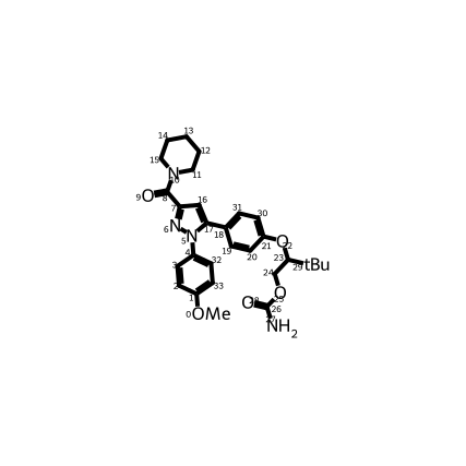 COc1ccc(-n2nc(C(=O)N3CCCCC3)cc2-c2ccc(OC(COC(N)=O)C(C)(C)C)cc2)cc1